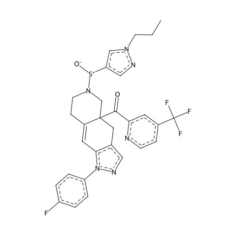 CCCn1cc([S+]([O-])N2CCC3=Cc4c(cnn4-c4ccc(F)cc4)CC3(C(=O)c3cc(C(F)(F)F)ccn3)C2)cn1